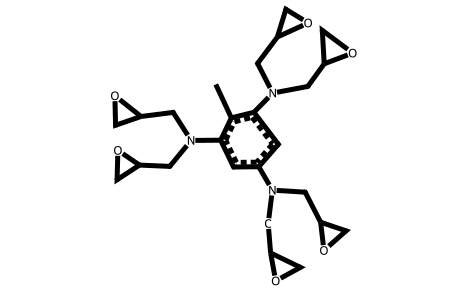 Cc1c(N(CC2CO2)CC2CO2)cc(N(CC2CO2)CC2CO2)cc1N(CC1CO1)CC1CO1